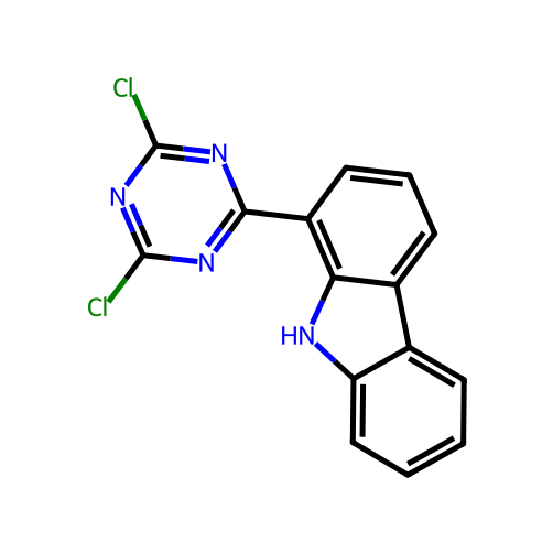 Clc1nc(Cl)nc(-c2cccc3c2[nH]c2ccccc23)n1